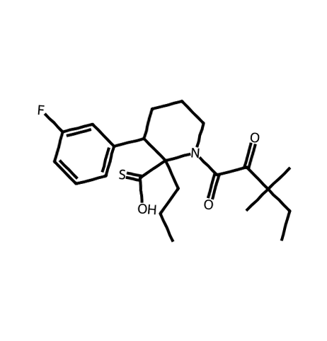 CCCC1(C(O)=S)C(c2cccc(F)c2)CCCN1C(=O)C(=O)C(C)(C)CC